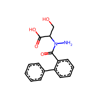 NN(C(=O)c1ccccc1-c1ccccc1)C(CO)C(=O)O